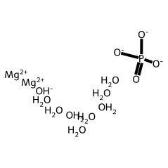 O.O.O.O.O.O.O.O.O=P([O-])([O-])[O-].[Mg+2].[Mg+2].[OH-]